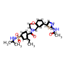 CCc1cc(S(=O)(=O)NC(C)C)ccc1C(=O)N1CCOc2ccc(-c3cnc(NC(C)=O)s3)cc2C1